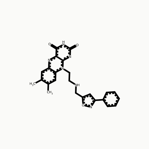 Cc1cc2nc3c(=O)[nH]c(=O)nc-3n(CCNCc3cc(-c4ccccc4)no3)c2cc1C